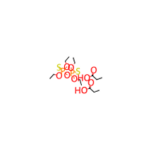 CCC(=O)O.CCC(=O)O.CCOP(=S)(OCC)OP(=S)(OCC)OCC